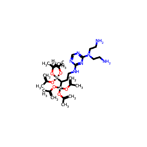 C=C(C)O[Si](OC(=C)C)(OC(=C)C)C(CCNc1ncnc(N(CCN)CCN)n1)[Si](OC(=C)C)(OC(=C)C)OC(=C)C